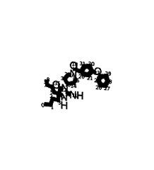 CCCCC1(CCCC)NC(=N)N(C2CCN(C(=O)c3ccc(Oc4ccccc4)cc3)CC2)C1=O